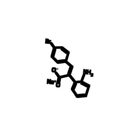 Nc1ccccc1C(=Cc1ccc(Br)cc1)C(=O)[O-].[Na+]